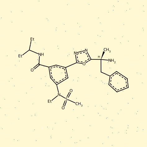 CCC(CC)NC(=O)c1cc(-c2nnc([C@](C)(N)Cc3ccccc3)o2)cc(N(CC)S(C)(=O)=O)c1